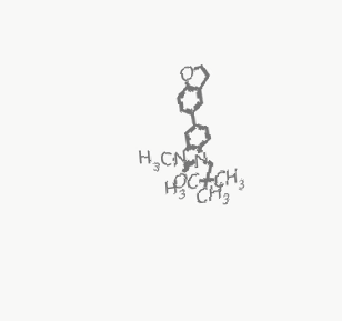 Cn1c(=O)n(CC(C)(C)C)c2ccc(-c3ccc4c(c3)CCO4)cc21